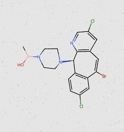 CB(O)N1CCN([C@@H]2c3ccc(Cl)cc3C(Br)=Cc3cc(Cl)cnc32)CC1